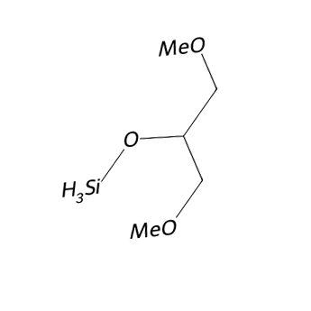 COCC(COC)O[SiH3]